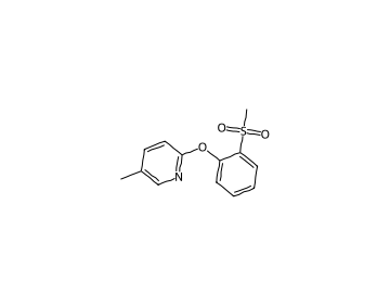 Cc1ccc(Oc2ccccc2S(C)(=O)=O)nc1